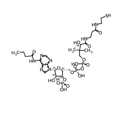 CCCC(=O)Nc1ncnc2c1ncn2[C@@H]1O[C@H](COP(=O)(O)OP(=O)(O)OCC(C)(C)[C@@H](O)C(=O)NCCC(=O)NCCS)[C@@H](OP(=O)(O)O)[C@H]1O